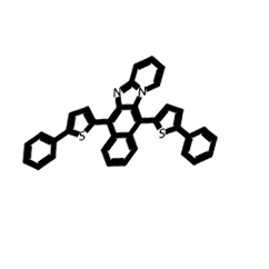 c1ccc(-c2ccc(-c3c4ccccc4c(-c4ccc(-c5ccccc5)s4)c4c3nc3ccccn34)s2)cc1